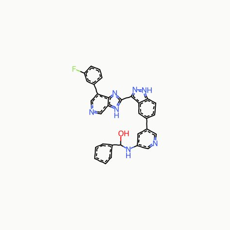 OC(Nc1cncc(-c2ccc3[nH]nc(-c4nc5c(-c6cccc(F)c6)cncc5[nH]4)c3c2)c1)c1ccccc1